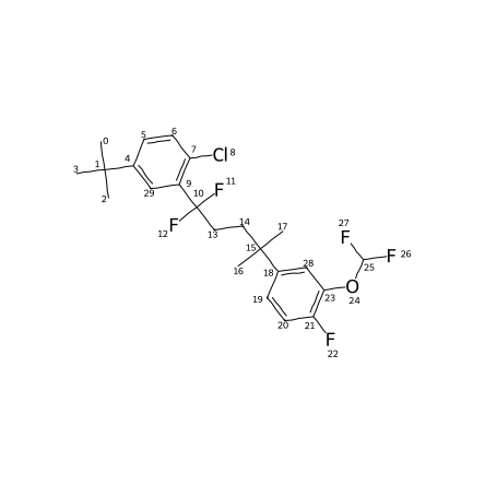 CC(C)(C)c1ccc(Cl)c(C(F)(F)CCC(C)(C)c2ccc(F)c(OC(F)F)c2)c1